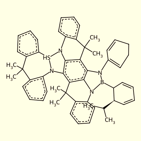 CC(C)[C@@H]1C=CC=CC1B1N(C2=CCCC=C2)c2c3c(c4c5c2C(C)(C)c2ccccc2N5[SH]2c5ccccc5C(C)(C)c5ccccc5N42)C(C)(C)c2ccccc2N13